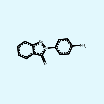 Nc1ccc(-n2[se]c3ccccc3c2=O)cc1